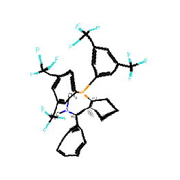 CN(C)[C@H](c1ccccc1)[C@@H]1CCC[C@@H]1P(c1cc(C(F)(F)F)cc(C(F)(F)F)c1)c1cc(C(F)(F)F)cc(C(F)(F)F)c1